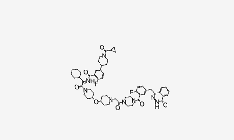 O=C(N[C@@H](C(=O)N1CCC(OC2CCN(CC(=O)N3CCN(C(=O)c4cc(Cc5n[nH]c(=O)c6ccccc56)ccc4F)CC3)CC2)CC1)C1CCCCC1)c1cc(C2CCN(C(=O)C3CC3)CC2)ccc1F